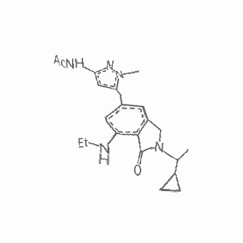 CCNc1cc(-c2cc(NC(C)=O)nn2C)cc2c1C(=O)N(C(C)C1CC1)C2